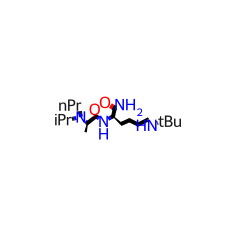 CCCN(C(C)C)[C@H](C)C(=O)N[C@H](CCCCNC(C)(C)C)C(N)=O